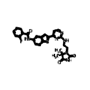 CC1(C)C(=O)NC(=O)N1CCNc1nccc(-c2cc3cc(NC(=O)c4ccccc4F)ccc3s2)n1